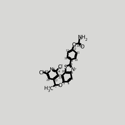 CC(Oc1ccc2nc(-c3ccc(OC(N)=O)cc3)sc2c1)c1cc(Cl)nc(Cl)c1